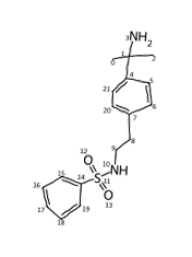 CC(C)(N)c1ccc(CCNS(=O)(=O)c2ccccc2)cc1